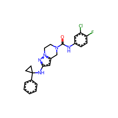 O=C(Nc1ccc(F)c(Cl)c1)N1CCn2nc(NC3(c4ccccc4)CC3)cc2C1